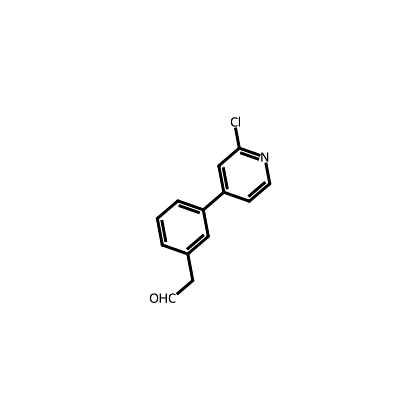 O=CCc1cccc(-c2ccnc(Cl)c2)c1